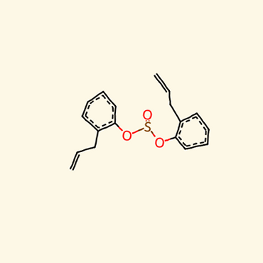 C=CCc1ccccc1OS(=O)Oc1ccccc1CC=C